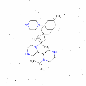 CC1CC2CC(C)(CC(C)(C)N3CCNCC3C3CNCCN3C(C)C)CC(N3CCNCC3)(C1)C2